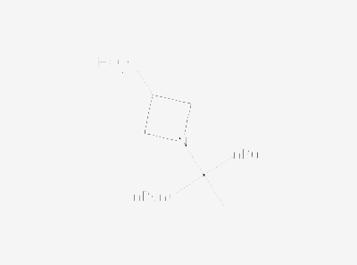 CCCCCC(C)(CCCC)N1CC(C(=O)O)C1